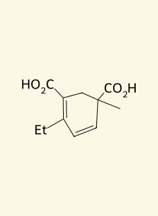 CCC1=C(C(=O)O)CC(C)(C(=O)O)C=C1